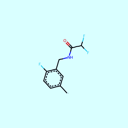 [CH2]c1ccc(F)c(CNC(=O)C(F)F)c1